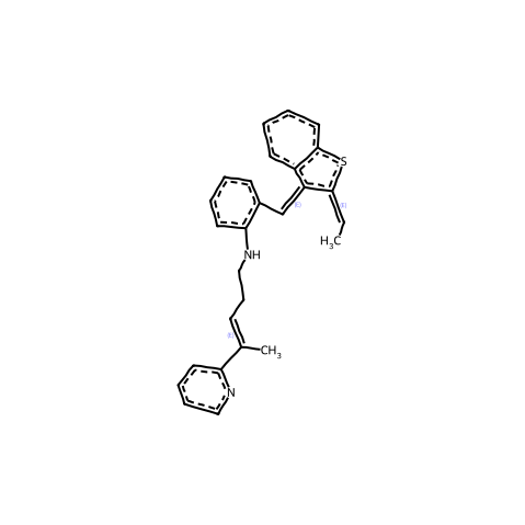 C/C=c1/sc2ccccc2/c1=C\c1ccccc1NCC/C=C(\C)c1ccccn1